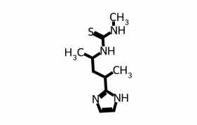 CNC(=S)NC(C)CC(C)c1ncc[nH]1